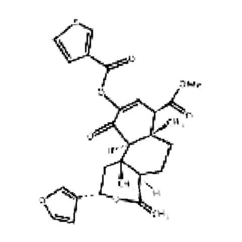 C=C1O[C@H](c2ccoc2)C[C@]2(C)[C@H]3C(=O)C(OC(=O)c4ccsc4)=C[C@@H](C(=O)OC)[C@]3(C)CC[C@@H]12